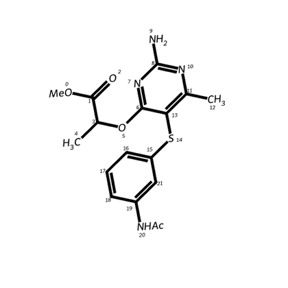 COC(=O)C(C)Oc1nc(N)nc(C)c1Sc1cccc(NC(C)=O)c1